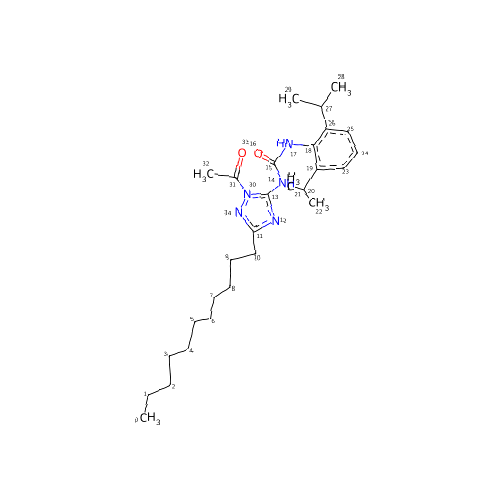 CCCCCCCCCCCc1nc(NC(=O)Nc2c(C(C)C)cccc2C(C)C)n(C(C)=O)n1